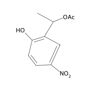 CC(=O)OC(C)c1cc([N+](=O)[O-])ccc1O